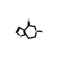 CN1CCc2sccc2C(=O)C1